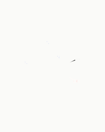 CC[C@@H](CO)n1cnc2cnc3ccccc3c21